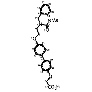 CNC(=O)N(CCOc1ccc(-c2ccc(OCC(=O)O)cc2)cc1)Cc1ccccc1